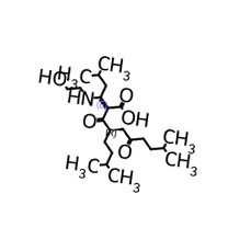 CC(C)CCC(=O)C[C@@H](CCC(C)C)C(=O)/C(C(=O)O)=C(/CC(C)C)NCCO